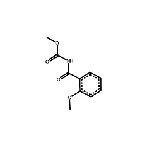 COC(=O)NC(=O)c1ccccc1OC